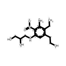 CCc1c(CCO)cc(NCC(O)CO)c([N+](=O)[O-])c1N